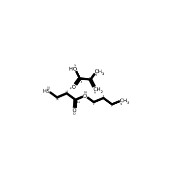 C=C(C)C(=O)O.CCCCOC(=O)CCS